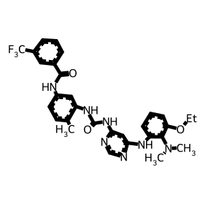 CCOc1cccc(Nc2cc(NC(=O)Nc3cc(NC(=O)c4cccc(C(F)(F)F)c4)ccc3C)ncn2)c1N(C)C